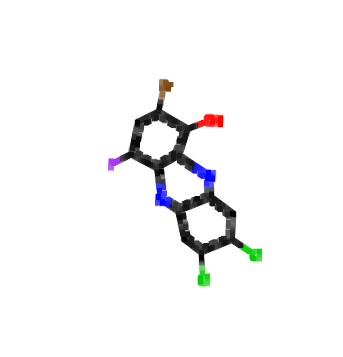 Oc1c(Br)cc(I)c2nc3cc(Cl)c(Cl)cc3nc12